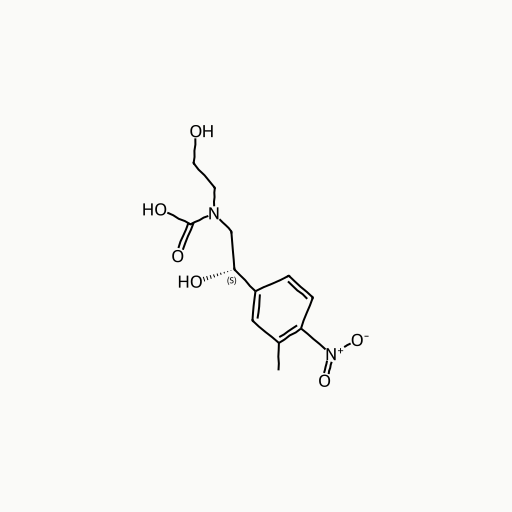 Cc1cc([C@H](O)CN(CCO)C(=O)O)ccc1[N+](=O)[O-]